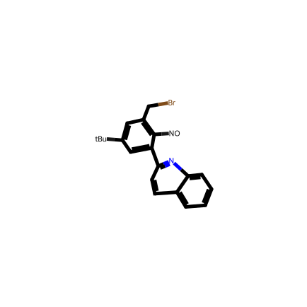 CC(C)(C)c1cc(CBr)c(N=O)c(-c2ccc3ccccc3n2)c1